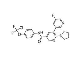 O=C(Nc1ccc(OC(F)(F)Cl)cc1)c1cnc(N2CCCC2)c(-c2cncc(F)c2)c1